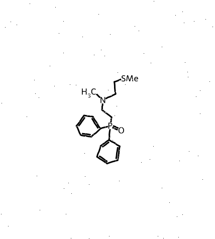 CSCCN(C)CCP(=O)(c1ccccc1)c1ccccc1